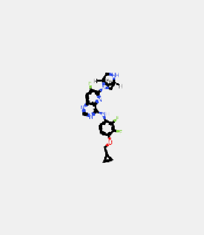 Fc1cc2ncnc(Nc3ccc(OCC4CC4)c(F)c3F)c2nc1N1C[C@@H]2C[C@H]1CN2